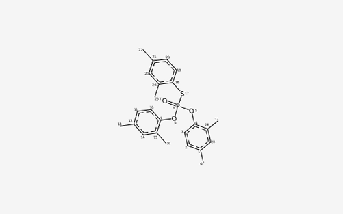 Cc1ccc(OP(=O)(Oc2ccc(C)cc2C)Sc2ccc(C)cc2C)c(C)c1